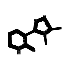 Cc1nnc(-c2ccc[nH]c2=S)n1C